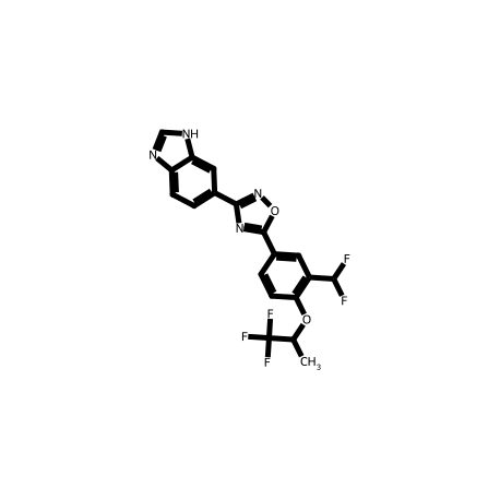 CC(Oc1ccc(-c2nc(-c3ccc4nc[nH]c4c3)no2)cc1C(F)F)C(F)(F)F